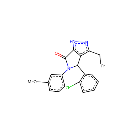 COc1cccc(N2C(=O)c3[nH]nc(CC(C)C)c3C2c2ccccc2Cl)c1